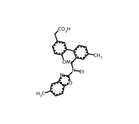 CCN(Cc1cc(C)ccc1-c1cc(CC(=O)O)ccc1OC)c1nc2cc(C)ccc2o1